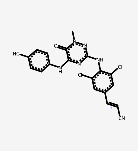 Cn1nc(Nc2c(Cl)cc(/C=C/C#N)cc2Cl)nc(Nc2ccc(C#N)cc2)c1=O